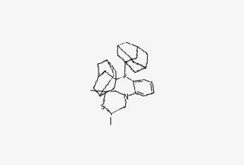 CC1CN(c2ccccc2P(C23CC4CC(CC(C4)C2)C3)C23CC4CC(CC(C4)C2)C3)CC(C)S1